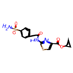 NS(=O)(=O)c1ccc(C(=O)Nc2nc(C(=O)OC3CC3)cs2)cc1